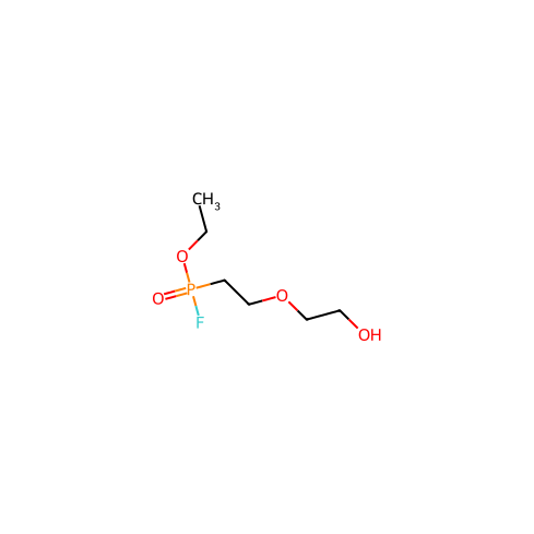 CCOP(=O)(F)CCOCCO